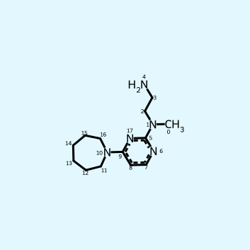 CN(CCN)c1nccc(N2CCCCCC2)n1